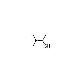 CC(S)P(C)C